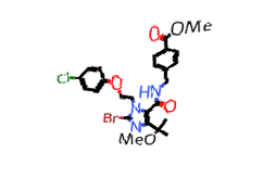 COC(=O)c1ccc(CNC(=O)c2c(C(C)(C)OC)nc(Br)n2CCOc2ccc(Cl)cc2)cc1